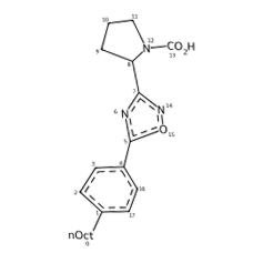 CCCCCCCCc1ccc(-c2nc(C3CCCN3C(=O)O)no2)cc1